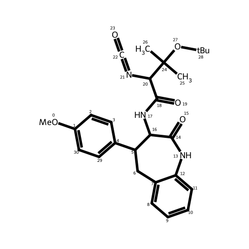 COc1ccc(C2Cc3ccccc3NC(=O)C2NC(=O)C(N=C=O)C(C)(C)OC(C)(C)C)cc1